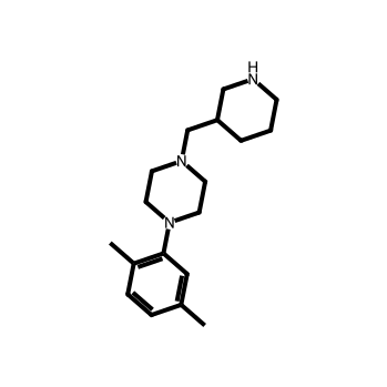 Cc1ccc(C)c(N2CCN(CC3CCCNC3)CC2)c1